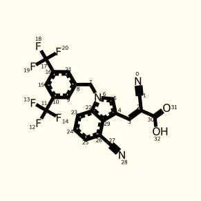 N#C/C(=C\c1cn(Cc2cc(C(F)(F)F)cc(C(F)(F)F)c2)c2cccc(C#N)c12)C(=O)O